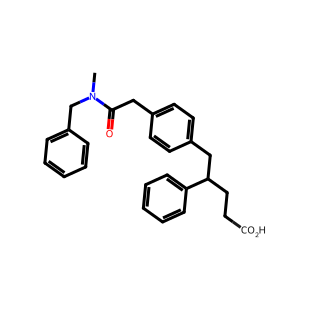 CN(Cc1ccccc1)C(=O)Cc1ccc(CC(CCC(=O)O)c2ccccc2)cc1